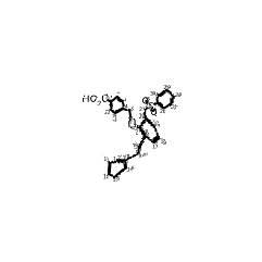 O=C(O)c1ccc(COc2c(CCc3ccccc3)cccc2CS(=O)(=O)c2ccccc2)cc1